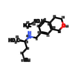 CC(C)(C)CC[C@H](NCc1ccc2c(c1)COCC2)C(=O)O.CS(=O)(=O)O